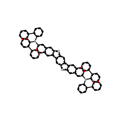 c1ccc(-c2ccccc2N(c2ccc3cc4c(cc3c2)oc2cc3c(cc24)oc2cc4cc(N(c5ccccc5-c5ccccc5)c5ccccc5-c5ccccc5)ccc4cc23)c2ccccc2-c2ccccc2)cc1